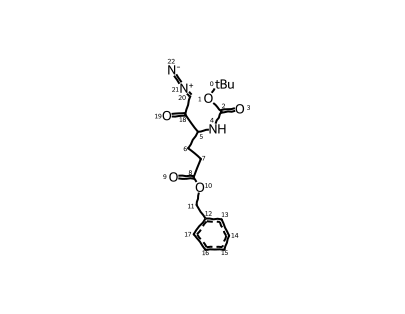 CC(C)(C)OC(=O)NC(CCC(=O)OCc1ccccc1)C(=O)C=[N+]=[N-]